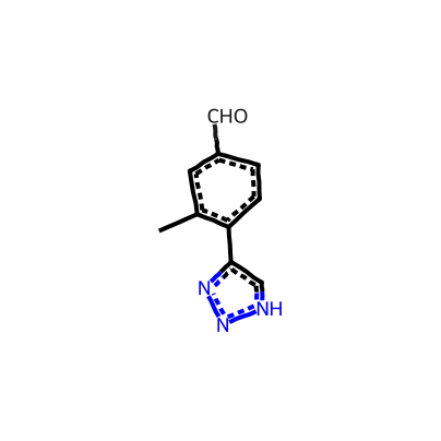 Cc1cc(C=O)ccc1-c1c[nH]nn1